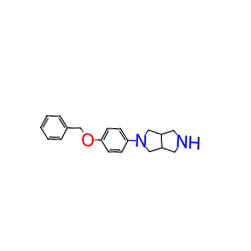 c1ccc(COc2ccc(N3CC4CNCC4C3)cc2)cc1